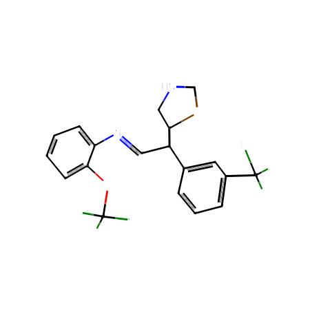 FC(F)(F)Oc1ccccc1N=CC(c1cccc(C(F)(F)F)c1)C1CNCS1